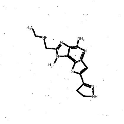 CCNCc1nc2c(N)nc3cc(C4=NNCC4)sc3c2n1C